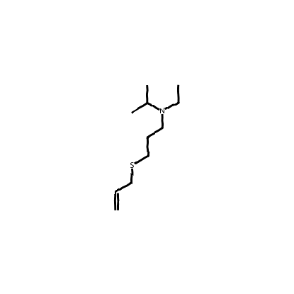 C=CCSCCCN(CC)C(C)C